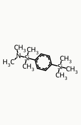 CN(C)[Si](C)(C)c1ccc([Si](C)(C)C)cc1